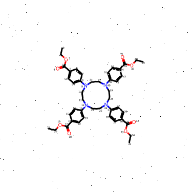 CCOC(=O)c1ccc(N2CCN(c3ccc(C(=O)OCC)cc3)CCN(c3ccc(C(=O)OCC)cc3)CCN(c3ccc(C(=O)OCC)cc3)CC2)cc1